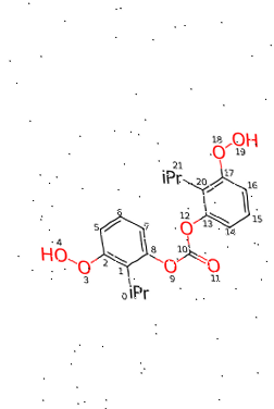 CC(C)c1c(OO)cccc1OC(=O)Oc1cccc(OO)c1C(C)C